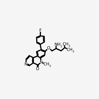 CC(C)CC(N)COc1cc2c(cc1-c1ccc(F)cc1)c1ccncc1c(=O)n2C